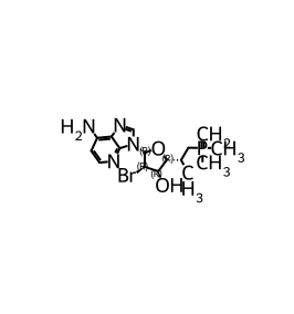 C=P(C)(C)CC(C)[C@H]1O[C@@H](n2cnc3c(N)ccnc32)[C@H](Br)[C@@H]1O